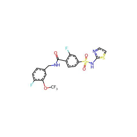 O=C(NCc1ccc(F)c(OC(F)(F)F)c1)c1ccc(S(=O)(=O)Nc2nccs2)cc1F